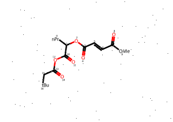 CCCC(OC(=O)/C=C/C(=O)OC)C(=O)OC(=O)CC(C)(C)C